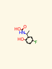 CC(NC(=O)O)c1cc(F)ccc1O